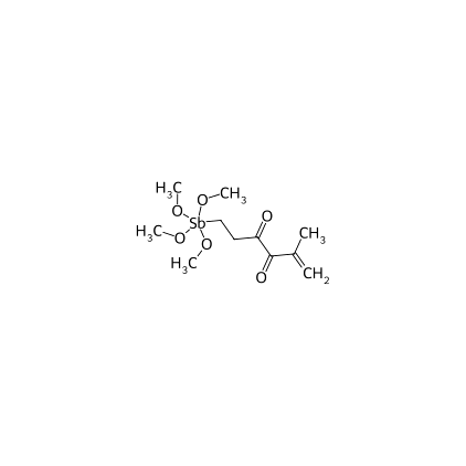 C=C(C)C(=O)C(=O)C[CH2][Sb]([O]C)([O]C)([O]C)[O]C